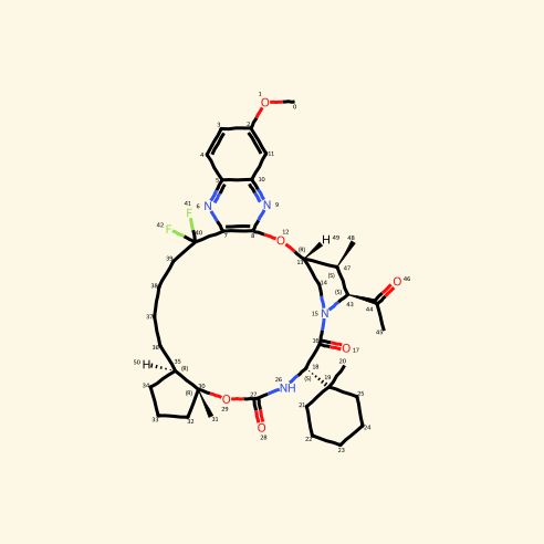 COc1ccc2nc3c(nc2c1)O[C@H]1CN(C(=O)[C@H](C2(C)CCCCC2)NC(=O)O[C@]2(C)CCC[C@H]2CCCCC3(F)F)[C@H](C(C)=O)[C@@H]1C